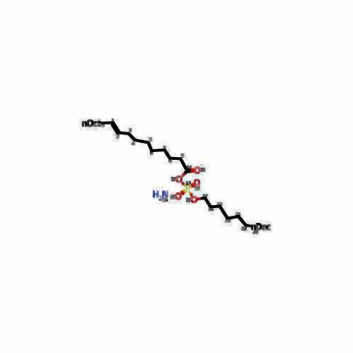 CCCCCCCCC=CCCCCCCCC(=O)OS(=O)(=O)OCCCCCCCCCCCCCCCC.N